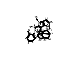 Cc1ccccc1N1[C@@H](C)c2c(c3c(ccn3C)n2C)C12C1CC3CC(C1)CC2C3